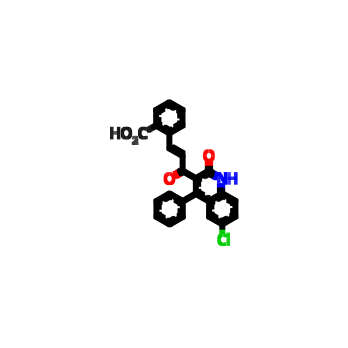 O=C(O)c1ccccc1/C=C/C(=O)c1c(-c2ccccc2)c2cc(Cl)ccc2[nH]c1=O